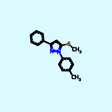 CSc1cc(-c2ccccc2)nn1-c1ccc(C)cc1